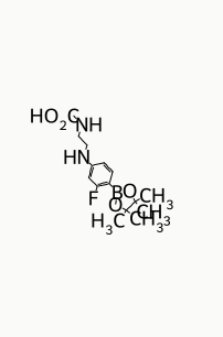 CC1(C)OB(c2ccc(NCCNC(=O)O)cc2F)OC1(C)C